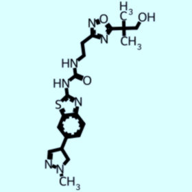 CN1CC(c2ccc3nc(NC(=O)NCCc4noc(C(C)(C)CO)n4)sc3c2)C=N1